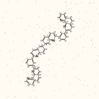 c1cc(-c2ccc3cc(-c4ccc5ccc(-c6cccc(-c7ccc8ccc9cccnc9c8n7)c6)nc5c4)ccc3n2)cc(-c2ccc3ccc4cccnc4c3n2)c1